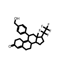 CC12CC(c3ccc(CO)cc3)C3=C4CCC(=O)C=C4CCC3C1CCC2C(F)(F)C(F)(F)F